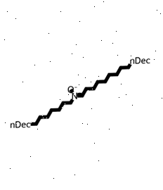 CCCCCCCCCCCCCCCCCCC=[N+]([O-])CCCCCCCCCCCCCCCCC